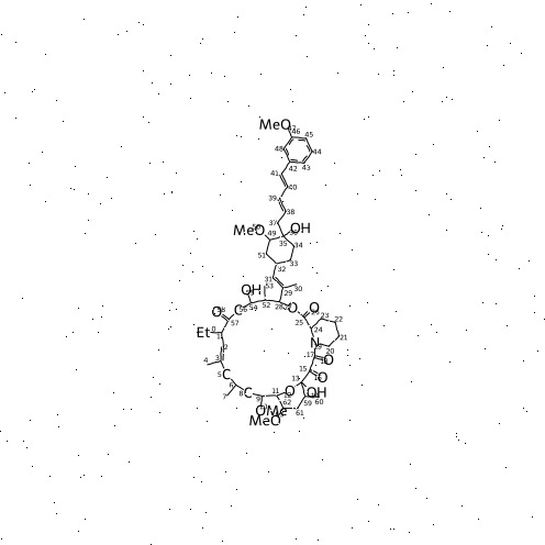 CCC1/C=C(\C)CC(C)CC(OC)C2OC(O)(C(=O)C(=O)N3CCCCC3C(=O)OC(C(C)=CC3CCC(O)(CC=CC=Cc4cccc(OC)c4)C(OC)C3)C(C)C(O)CC1=O)C(C)CC2OC